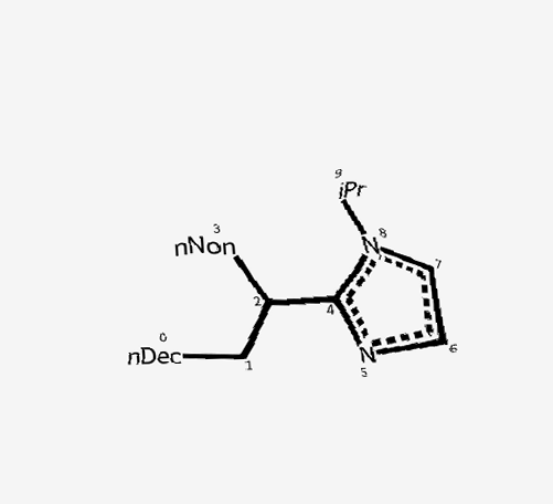 CCCCCCCCCCCC(CCCCCCCCC)c1nccn1C(C)C